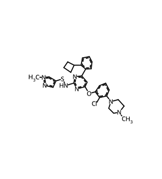 CN1CCN(c2cccc(Oc3cc(-c4ccccc4C4CCC4)nc(NSc4cnn(C)c4)n3)c2Cl)CC1